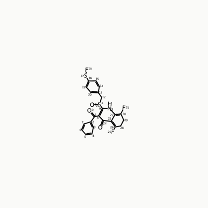 O=C(c1ccccc1)c1c([S+]([O-])Cc2ccc(SF)cc2)[nH]c2c(c1=O)=C(F)CCC=2F